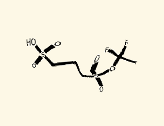 O=S(=O)(O)CCCS(=O)(=O)OC(F)(F)F